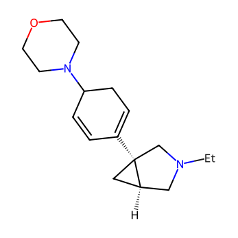 CCN1C[C@H]2C[C@@]2(C2=CCC(N3CCOCC3)C=C2)C1